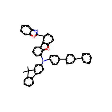 CC1(C)c2ccccc2-c2ccc(N(c3ccc(-c4ccc(-c5ccccc5)cc4)cc3)c3cccc4c3oc3cccc(-c5nc6ccccc6o5)c34)cc21